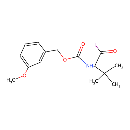 COc1cccc(COC(=O)NC(C(=O)I)C(C)(C)C)c1